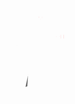 CC[C@H]1CC[C@@](C)(C(=O)O)CC1